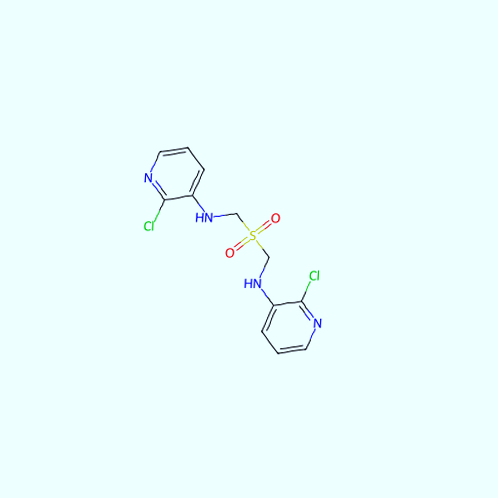 O=S(=O)(CNc1cccnc1Cl)CNc1cccnc1Cl